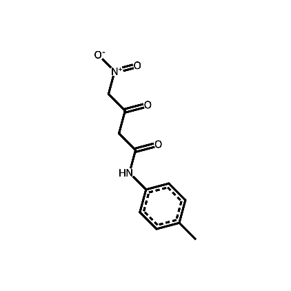 Cc1ccc(NC(=O)CC(=O)C[N+](=O)[O-])cc1